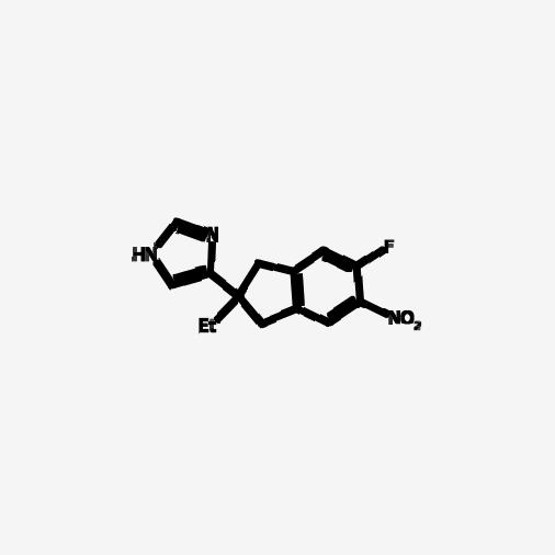 CCC1(c2c[nH]cn2)Cc2cc(F)c([N+](=O)[O-])cc2C1